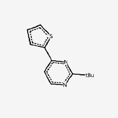 CC(C)(C)c1nccc(-c2cccs2)n1